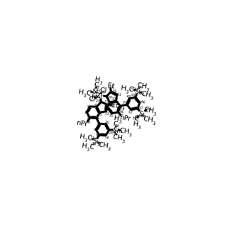 CCCc1ccc2c(c1-c1cc([Si](C)(C)C)cc([Si](C)(C)C)c1)C=C(CC)[CH]2[Zr]([Cl])([Cl])([CH]1C(CC)=Cc2c1ccc(CCC)c2-c1cc([Si](C)(C)C)cc([Si](C)(C)C)c1)[SiH](C)C